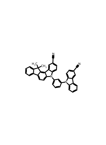 CC1(C)c2ccccc2-c2ccc3c(c21)c1cc(C#N)ccc1n3-c1cccc(-n2c3ccccc3c3cc(C#N)ccc32)c1